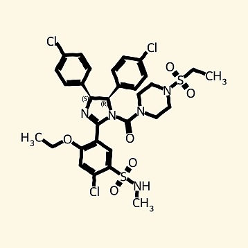 CCOc1cc(Cl)c(S(=O)(=O)NC)cc1C1=N[C@@H](c2ccc(Cl)cc2)[C@@H](c2ccc(Cl)cc2)N1C(=O)N1CCN(S(=O)(=O)CC)CC1